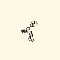 Cn1cc(-c2ccc3c(c2)[C@H](c2cc(N4CCCC5(CCO5)C4)ncn2)NN3)cn1